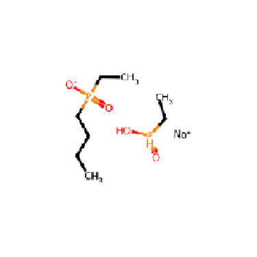 CCCCP(=O)([O-])CC.CC[PH](=O)O.[Na+]